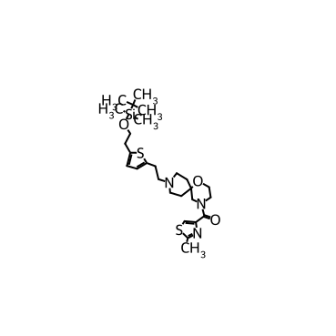 Cc1nc(C(=O)N2CCOC3(CCN(CCc4ccc(CCO[Si](C)(C)C(C)(C)C)s4)CC3)C2)cs1